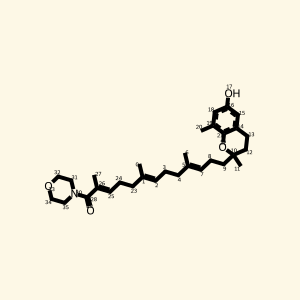 C/C(=C\CC/C(C)=C/CCC1(C)CCc2cc(O)cc(C)c2O1)CC/C=C(\C)C(=O)N1CCOCC1